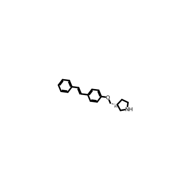 C(=Cc1ccc(OC[C@@H]2CCNC2)cc1)c1ccccc1